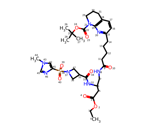 CCOC(=O)CC(CNC(=O)CCCCc1ccc2c(n1)N(C(=O)OC(C)(C)C)CCC2)NC(=O)C1CN(S(=O)(=O)c2cn(C)cn2)C1